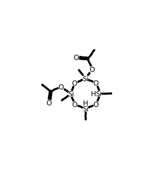 CC(=O)O[Si]1(C)O[SiH](C)O[SiH](C)O[Si](C)(OC(C)=O)O1